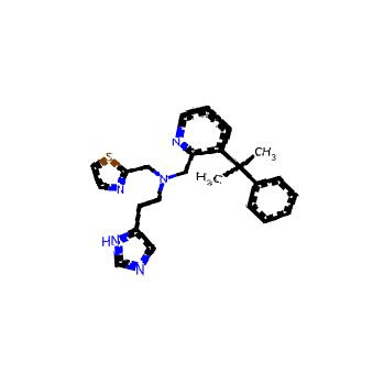 CC(C)(c1ccccc1)c1cccnc1CN(CCc1cnc[nH]1)Cc1nccs1